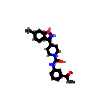 CNC(=O)c1cccc(NC(=O)N2CCC(c3noc4cc(C)ccc34)CC2)c1